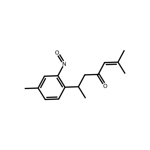 CC(C)=CC(=O)CC(C)c1ccc(C)cc1N=O